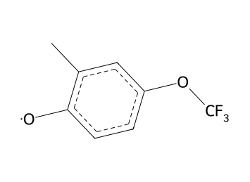 Cc1cc(OC(F)(F)F)ccc1[O]